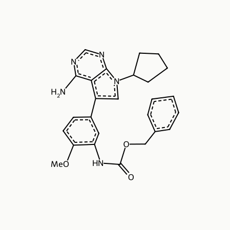 COc1ccc(-c2cn(C3CCCC3)c3ncnc(N)c23)cc1NC(=O)OCc1ccccc1